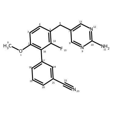 COc1ccc(Cc2cnc(N)nc2)c(F)c1-c1cccc(C#N)c1